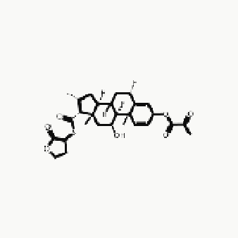 CC(=O)C(=O)OC1C=C[C@@]2(C)C(=C1)[C@@H](F)C[C@H]1[C@@H]3C[C@@H](C)[C@@H](C(=O)SC4CCOC4=O)[C@@]3(C)C[C@H](O)[C@@]12F